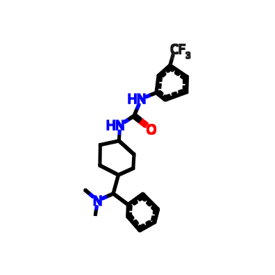 CN(C)C(c1ccccc1)C1CCC(NC(=O)Nc2cccc(C(F)(F)F)c2)CC1